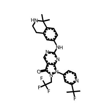 CC(C)(F)c1cc(-n2c3nc(Nc4ccc5c(c4)CCNC5(C)C)ncc3c(=O)n2CC(F)(F)F)ccn1